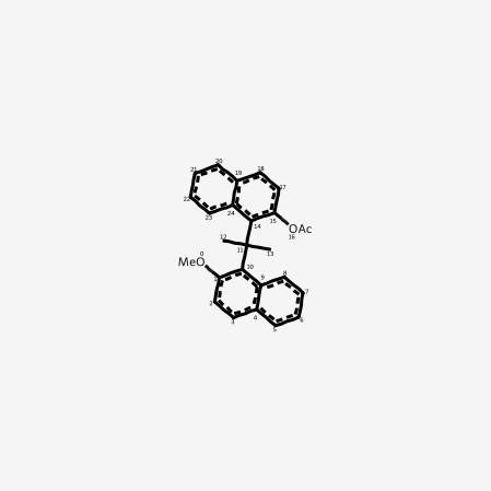 COc1ccc2ccccc2c1C(C)(C)c1c(OC(C)=O)ccc2ccccc12